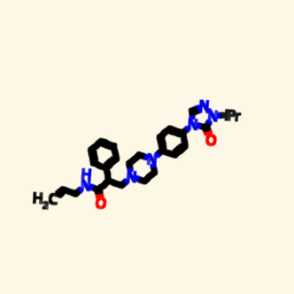 C=CCNC(=O)C(CN1CCN(c2ccc(-n3cnn(C(C)C)c3=O)cc2)CC1)c1ccccc1